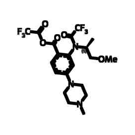 COC[C@H](C)N(C(=O)C(F)(F)F)c1cc(N2CCN(C)CC2)ccc1C(=O)OC(=O)C(F)(F)F